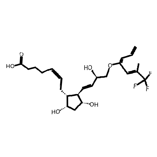 C=C/C=C(\C=C(/C)C(F)(F)F)OC[C@H](O)/C=C/[C@@H]1[C@@H](C/C=C\CCCC(=O)O)[C@@H](O)C[C@H]1O